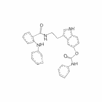 O=C(Nc1ccccc1)Oc1ccc2[nH]cc(CCNC(=O)c3ccccc3Nc3ccccc3)c2c1